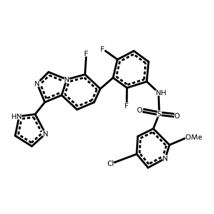 COc1ncc(Cl)cc1S(=O)(=O)Nc1ccc(F)c(-c2ccc3c(-c4ncc[nH]4)ncn3c2F)c1F